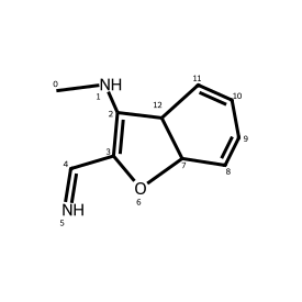 CNC1=C(C=N)OC2C=CC=CC12